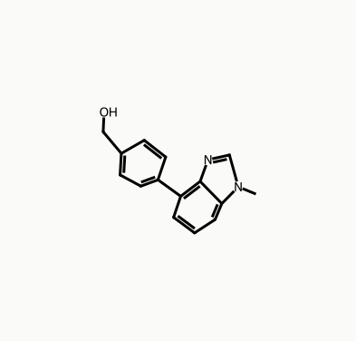 Cn1cnc2c(-c3ccc(CO)cc3)cccc21